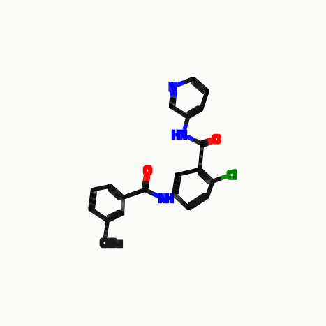 CC(C)COc1cccc(C(=O)Nc2ccc(Cl)c(C(=O)Nc3cccnc3)c2)c1